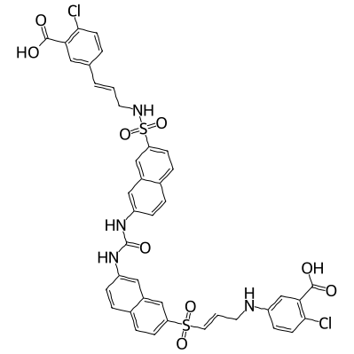 O=C(Nc1ccc2ccc(S(=O)(=O)C=CCNc3ccc(Cl)c(C(=O)O)c3)cc2c1)Nc1ccc2ccc(S(=O)(=O)NCC=Cc3ccc(Cl)c(C(=O)O)c3)cc2c1